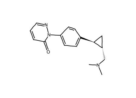 CN(C)C[C@H]1C[C@@H]1c1ccc(-n2ncccc2=O)cc1